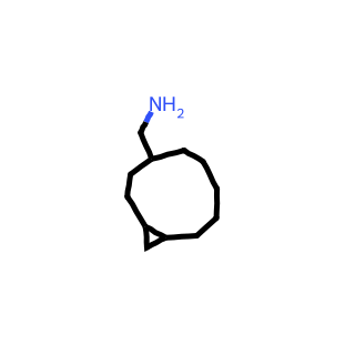 NCC1CCCCCC2CC2CC1